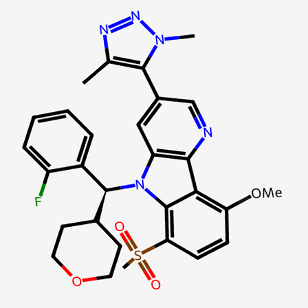 COc1ccc(S(C)(=O)=O)c2c1c1ncc(-c3c(C)nnn3C)cc1n2[C@H](c1ccccc1F)C1CCOCC1